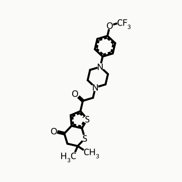 CC1(C)CC(=O)c2cc(C(=O)CN3CCN(c4ccc(OC(F)(F)F)cc4)CC3)sc2S1